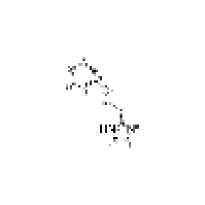 c1ccc(OCCc2ncc[nH]2)cc1